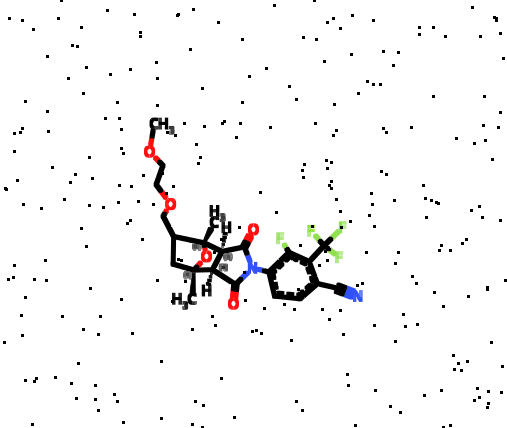 COCCOCC1C[C@]2(C)O[C@@]1(C)[C@H]1C(=O)N(c3ccc(C#N)c(C(F)(F)F)c3F)C(=O)[C@H]12